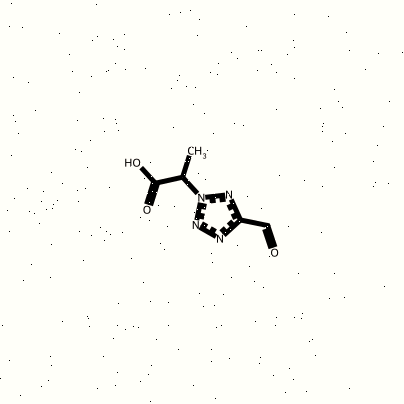 CC(C(=O)O)n1nnc(C=O)n1